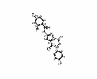 CC1CN(c2ccc(F)cc2)C(=O)c2cc(CNc3ccc(F)cc3F)nn21